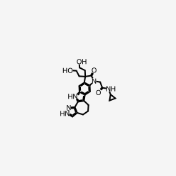 O=C(CN1C(=O)C(CCO)(CCO)c2cc3[nH]c4c(c3cc21)CCCc1c[nH]nc1-4)NC1CC1